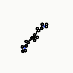 C(=C\c1ccc(-c2ccc3c(c2)c2ccccc2n3-c2cccc3ccccc23)c2ccccc12)/c1ccc2c(c1)C1(c3ccccc3-c3ccccc31)c1cc(/C=C/c3ccc(-c4ccc5c(c4)c4ccccc4n5-c4cccc5ccccc45)c4ccccc34)ccc1-2